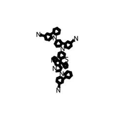 N#Cc1ccc2c(c1)c1ccccc1n2-c1cnc2c(c1)C1(c3ccccc3Sc3cc(-n4c5ccc(C#N)cc5c5cc(-n6c7ccccc7c7cc(C#N)ccc76)ccc54)ccc31)c1cccnc1-2